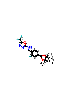 CC1(C)OB(c2ccc(CNc3nnc(C(F)F)o3)c(F)c2)OC1(C)C